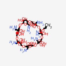 C=CCOC1C2OC(CN)C(OC3OC(CN)C(OC4OC(CN)C(OC5OC(CN)C(OC6OC(CN)C(OC7OC(CN)C(CC7(O)O)OC7OC(CN)C(O2)C(O)C7O)C(O)C6O)C(O)C5O)C(O)C4O)C(O)C3O)C1O